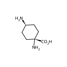 N[C@H]1CC[C@@](N)(C(=O)O)CC1